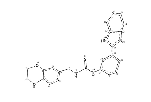 S=C(NCc1ccc2c(c1)OCCO2)Nc1cccc(-c2nc3ccccc3[nH]2)c1